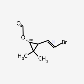 CC1(C)C(/C=C/Br)[C@H]1OC=O